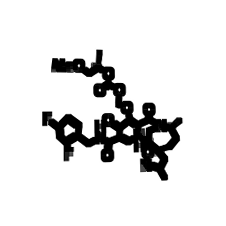 COC[C@@H](C)OC(=O)OCOc1c2n(cc(C(=O)NCc3ccc(F)cc3F)c1=O)[C@@H]1CN(C2=O)[C@@H](C)CC[C@]12CC(C)=NO2